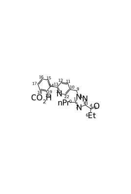 CCCc1nc(C(=O)CC)nn1Cc1ccc(-c2ccccc2C(=O)O)nc1